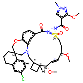 COc1nn(C)cc1C(=O)N[S@@]1(=O)=NC(=O)c2ccc3c(c2)N(C[C@@H]2CC[C@H]2[C@@H](OC)/C=C/[C@H](OC)CC1)C[C@@]1(CCCc2cc(Cl)ccc21)CO3